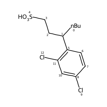 CCCCC(CCS(=O)(=O)O)c1ccc(Cl)cc1Cl